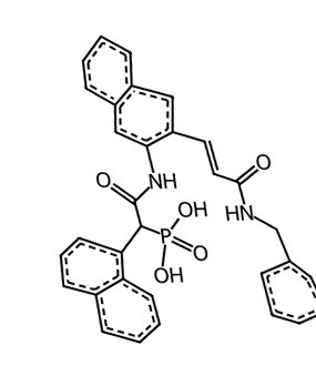 O=C(/C=C/c1cc2ccccc2cc1NC(=O)C(c1cccc2ccccc12)P(=O)(O)O)NCc1ccccc1